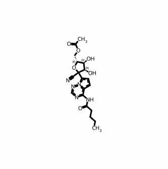 CCCCC(=O)Nc1ncnn2c(C3(C#N)O[C@H](COC(C)=O)[C@@H](O)[C@H]3O)ccc12